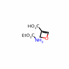 CCOC(N)=O.O=C(O)C1=COC1